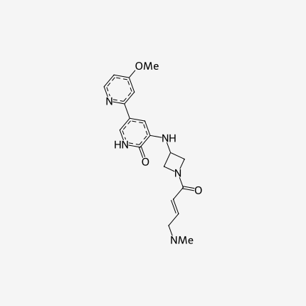 CNC/C=C/C(=O)N1CC(Nc2cc(-c3cc(OC)ccn3)c[nH]c2=O)C1